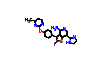 Cc1ccnc(Oc2ccc(-c3c(I)sc4c(C5=NCCN5)cnc(N)c34)cc2)n1